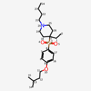 [CH2]CC1(S(=O)(=O)c2ccc(OCCC(C)C)cc2)CCN(CCCC)CC1